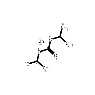 CC(C)OC(=O)OC(C)C.[Zn]